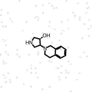 O[C@@H]1CNCC1N1CCc2ccccc2C1